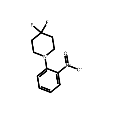 O=[N+]([O-])c1cc[c]cc1N1CCC(F)(F)CC1